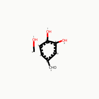 CO.O=Cc1ccc(O)c(O)c1